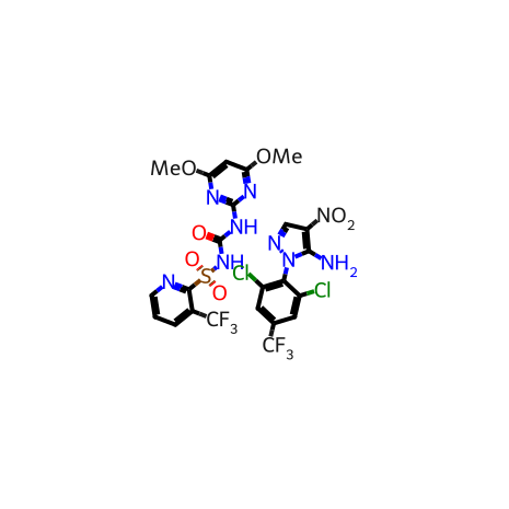 COc1cc(OC)nc(NC(=O)NS(=O)(=O)c2ncccc2C(F)(F)F)n1.Nc1c([N+](=O)[O-])cnn1-c1c(Cl)cc(C(F)(F)F)cc1Cl